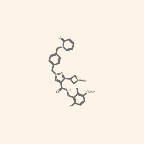 COc1ccc(F)c(CNC(=O)c2cn(Cc3ccc(Cn4ccccc4=O)cc3)nc2C2CN(C(C)=O)C2)c1C